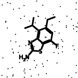 CCc1cc(F)c2sc(N)nc2c1C(C)C